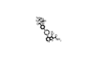 [2H]C([2H])([2H])N(C(=O)c1ccc(N2CCCN(c3ccnc4sc(C(N)=O)c(N)c34)CC2)cc1)C([2H])([2H])[2H]